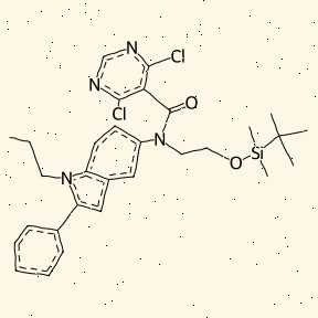 CCCn1c(-c2ccccc2)cc2cc(N(CCO[Si](C)(C)C(C)(C)C)C(=O)c3c(Cl)ncnc3Cl)ccc21